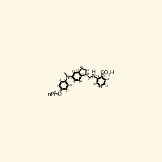 CCCOc1ccc(N(C)c2ccc3c(c2)CC[C@H]3CNc2cnccc2C(=O)O)cc1